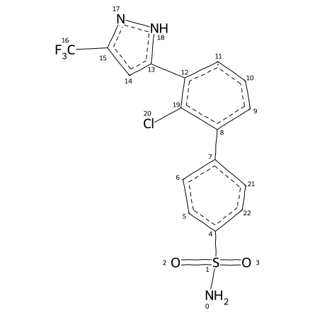 NS(=O)(=O)c1ccc(-c2cc[c]c(-c3cc(C(F)(F)F)n[nH]3)c2Cl)cc1